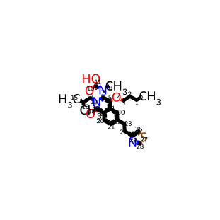 CCCCOc1c(N(C)C(=O)O)n(CC(C)C)c(=O)c2ccc(CCc3cscn3)cc12